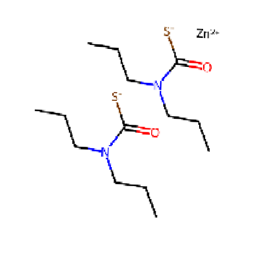 CCCN(CCC)C(=O)[S-].CCCN(CCC)C(=O)[S-].[Zn+2]